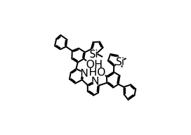 C[Si]1(C)C=CC=C1c1cc(-c2ccccc2)cc(-c2cccc(-c3cccc(-c4cc(-c5ccccc5)cc(C5=CC=C[Si]5(C)C)c4O)n3)n2)c1O